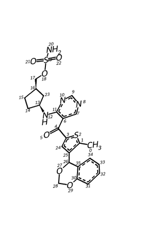 Cc1sc(C(=O)c2cncnc2N[C@H]2CC[C@@H](COS(N)(=O)=O)C2)cc1C1OCOc2ccccc21